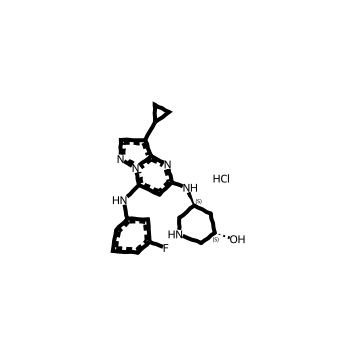 Cl.O[C@@H]1CNC[C@@H](Nc2cc(Nc3cccc(F)c3)n3ncc(C4CC4)c3n2)C1